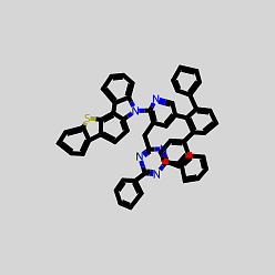 c1ccc(-c2nc(Cc3cc(-c4c(-c5ccccc5)cccc4-c4ccccc4)cnc3-n3c4ccccc4c4c5sc6ccccc6c5ccc43)nc(-c3ccccc3)n2)cc1